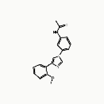 COc1ccccc1-c1cn(-c2cccc(NC(C)=O)c2)cn1